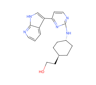 OCC[C@H]1CC[C@H](Nc2nccc(-c3c[nH]c4ncccc34)n2)CC1